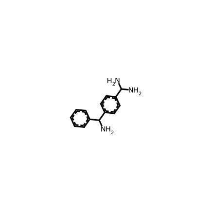 NC(N)c1ccc(C(N)c2ccccc2)cc1